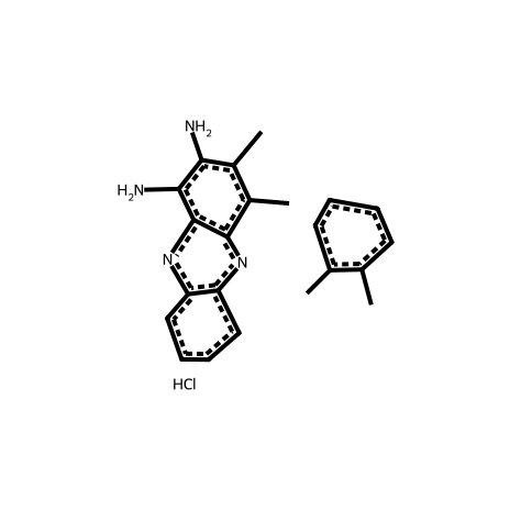 Cc1c(N)c(N)c2nc3ccccc3nc2c1C.Cc1ccccc1C.Cl